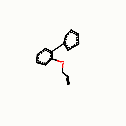 C=CCOc1ccccc1-c1ccccc1